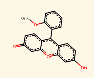 O=COc1ccccc1-c1c2ccc(=O)cc-2oc2cc(O)ccc12